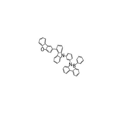 c1ccc(B2c3ccccc3-c3ccccc3N2c2cccc(-n3c4ccccc4c4c(-c5ccc6oc7ccccc7c6c5)cccc43)c2)cc1